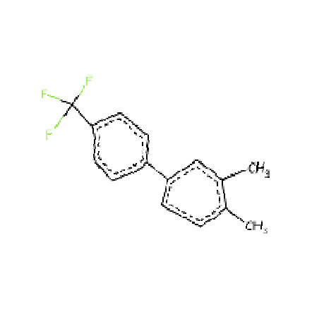 Cc1ccc(-c2c[c]c(C(F)(F)F)cc2)cc1C